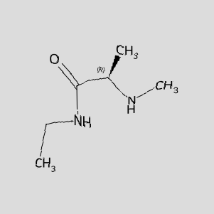 CCNC(=O)[C@@H](C)NC